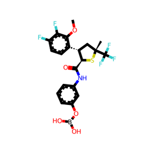 COc1c([C@@H]2C[C@](C)(C(F)(F)F)S[C@H]2C(=O)Nc2cccc(OB(O)O)c2)ccc(F)c1F